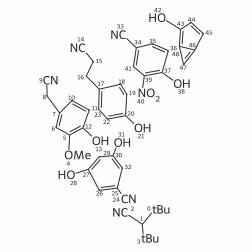 CC(C)(C)C(C#N)C(C)(C)C.COc1cc(CC#N)ccc1O.N#CCCc1ccc(O)cc1.N#Cc1cc(O)cc(O)c1.N#Cc1ccc(O)c([N+](=O)[O-])c1.Oc1ccc2cc1-2